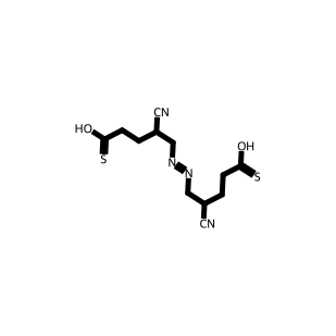 N#CC(CCC(O)=S)CN=NCC(C#N)CCC(O)=S